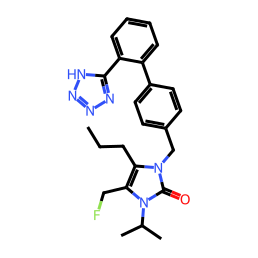 CCCc1c(CF)n(C(C)C)c(=O)n1Cc1ccc(-c2ccccc2-c2nnn[nH]2)cc1